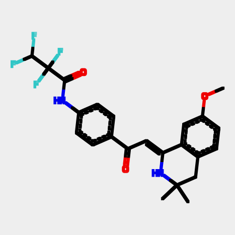 COc1ccc2c(c1)C(=CC(=O)c1ccc(NC(=O)C(F)(F)C(F)F)cc1)NC(C)(C)C2